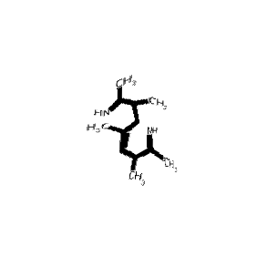 CC(=N)C(C)/C=C(/C)CC(C)C(C)=N